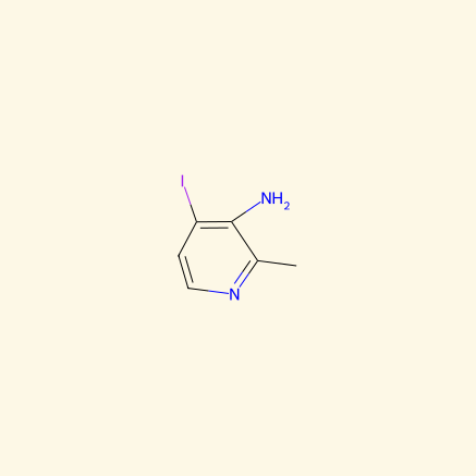 Cc1nccc(I)c1N